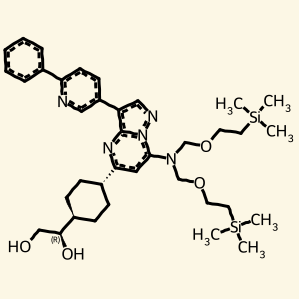 C[Si](C)(C)CCOCN(COCC[Si](C)(C)C)c1cc([C@H]2CC[C@H]([C@@H](O)CO)CC2)nc2c(-c3ccc(-c4ccccc4)nc3)cnn12